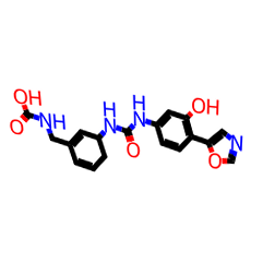 O=C(O)NCC1=CC(NC(=O)Nc2ccc(-c3cnco3)c(O)c2)CC=C1